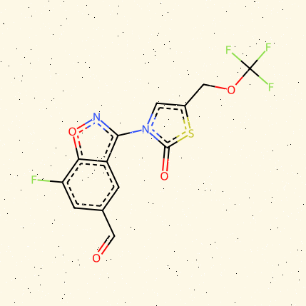 O=Cc1cc(F)c2onc(-n3cc(COC(F)(F)F)sc3=O)c2c1